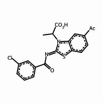 CC(=O)c1ccc2sc(=NC(=O)c3cccc(Cl)c3)n(C(C)C(=O)O)c2c1